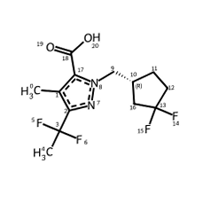 Cc1c(C(C)(F)F)nn(C[C@@H]2CCC(F)(F)C2)c1C(=O)O